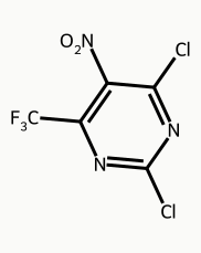 O=[N+]([O-])c1c(Cl)nc(Cl)nc1C(F)(F)F